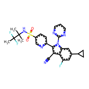 CC(F)(F)C(C)(C)NS(=O)(=O)c1ccc(-c2c(C#N)c3c(F)cc(C4CC4)cc3n2-c2ncccn2)nc1